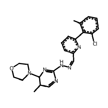 Cc1cccc(Cl)c1-c1cccc(/C=N\NC2=NC(N3CCOCC3)C(C)C=N2)n1